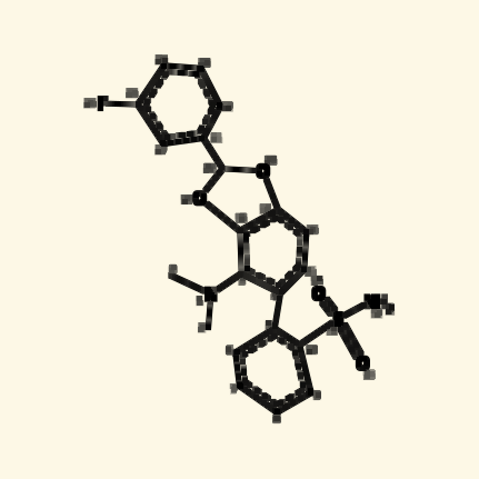 CN(C)c1c(-c2ccccc2S(N)(=O)=O)ccc2c1OC(c1cccc(F)c1)O2